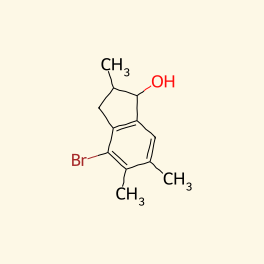 Cc1cc2c(c(Br)c1C)CC(C)C2O